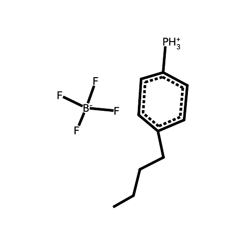 CCCCc1ccc([PH3+])cc1.F[B-](F)(F)F